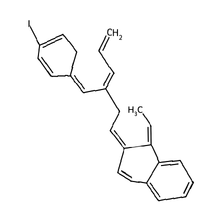 C=C/C=C(\C=C1\C=CC(I)=CC1)C/C=c1/ccc2ccccc2/c1=C/C